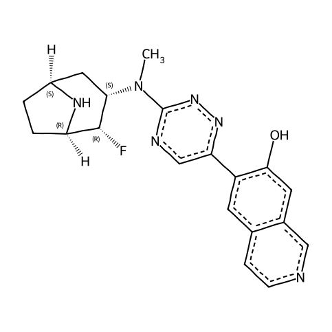 CN(c1ncc(-c2cc3ccncc3cc2O)nn1)[C@H]1C[C@@H]2CC[C@@H](N2)[C@H]1F